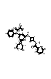 O=C(N[C@H]1C[C@H](Nc2cc(-n3c(C(F)F)nc4ccccc43)nc(N3CCOCC3)n2)C1)c1ccccn1